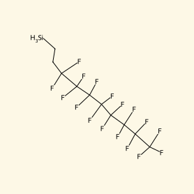 FC(F)(F)C(F)(F)C(F)(F)C(F)(F)C(F)(F)C(F)(F)C(F)(F)C(F)(F)CC[SiH3]